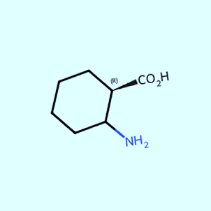 NC1CCCC[C@H]1C(=O)O